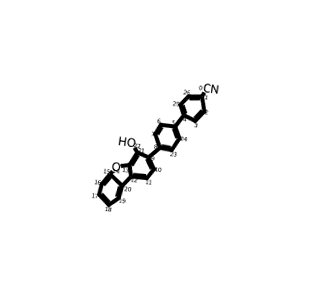 N#Cc1ccc(-c2ccc(-c3ccc4c(oc5ccccc54)c3O)cc2)cc1